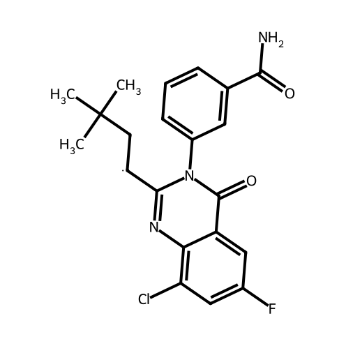 CC(C)(C)C[CH]c1nc2c(Cl)cc(F)cc2c(=O)n1-c1cccc(C(N)=O)c1